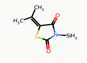 CC(C)=C1SC(=O)N([SiH3])C1=O